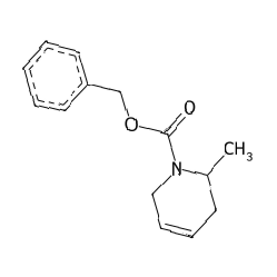 CC1CC=CCN1C(=O)OCc1ccccc1